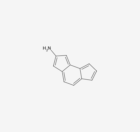 NC1=Cc2ccc3c(c2=C1)=CC=C3